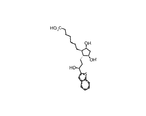 O=C(O)CCCCCC[C@@H]1[C@@H](CC[C@H](O)c2cc3ccccc3s2)[C@H](O)C[C@@H]1O